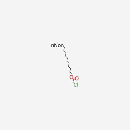 CCCCCCCCCCCCCCCCCCCCOC(=O)CCl